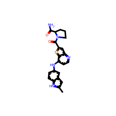 Cc1cc2cc(Nc3ccnc4cc(C(=O)N5CC[CH]C5C(N)=O)sc34)ccc2[nH]1